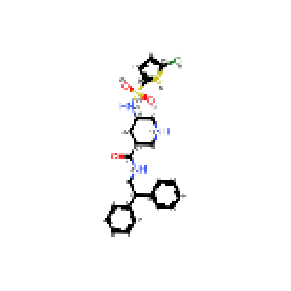 O=C(NCC(c1ccccc1)c1ccccc1)[C@@H]1CNC[C@H](NS(=O)(=O)c2ccc(Cl)s2)C1